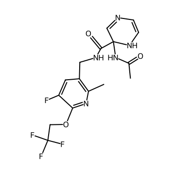 CC(=O)NC1(C(=O)NCc2cc(F)c(OCC(F)(F)F)nc2C)C=NC=CN1